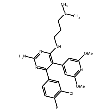 COc1cc(-c2c(NCCCN(C)C)nc(N)nc2-c2ccc(F)c(Cl)c2)cc(OC)n1